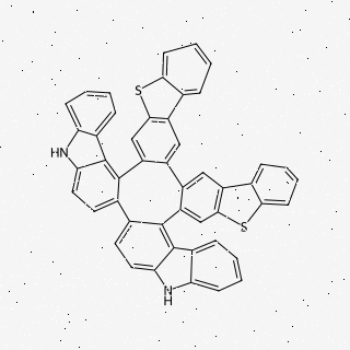 c1ccc2c(c1)[nH]c1ccc3c(c12)-c1cc2sc4ccccc4c2cc1-c1cc2c(cc1-c1c-3ccc3[nH]c4ccccc4c13)sc1ccccc12